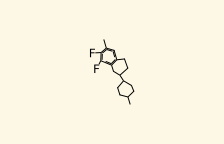 Cc1cc2c(c(F)c1F)CC(C1CCC(C)CC1)CC2